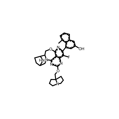 Cc1cccc2cc(O)cc(-c3nc4c5c(nc(OCC67CCCN6CCC7)nc5c3F)N3CC5CCC(N5)C3CO4)c12